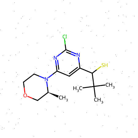 C[C@H]1COCCN1c1cc(C(S)C(C)(C)C)nc(Cl)n1